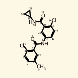 Cc1ccc(Cl)c(C(=O)Nc2ccc(Cl)c(C(=O)NC3CC3)c2)c1